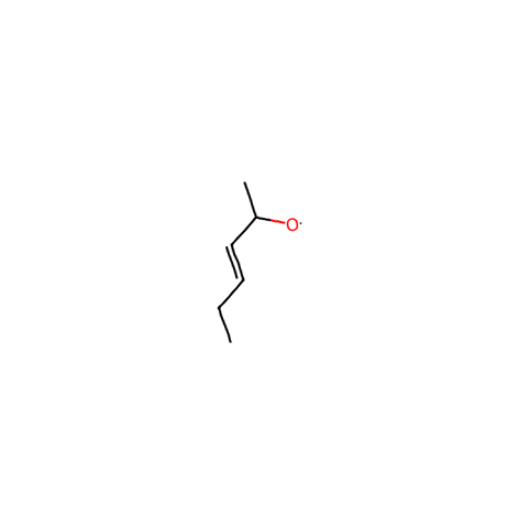 CCC=CC(C)[O]